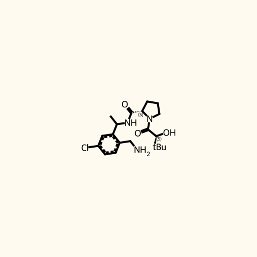 CC(NC(=O)[C@@H]1CCCN1C(=O)[C@@H](O)C(C)(C)C)c1cc(Cl)ccc1CN